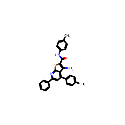 Cc1ccc(NC(=O)c2sc3nc(-c4ccccc4)cc(-c4ccc(C)cc4)c3c2N)cc1